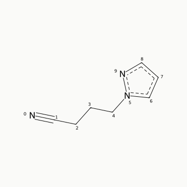 N#CCCCn1cccn1